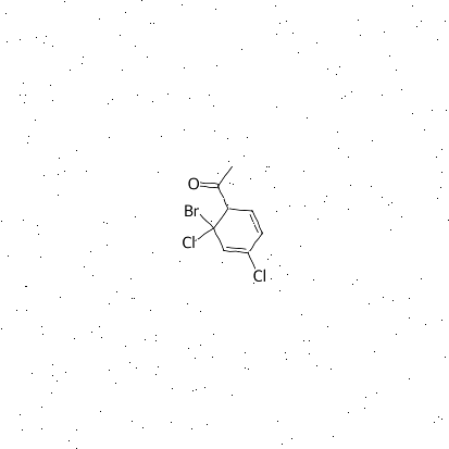 CC(=O)C1C=CC(Cl)=CC1(Cl)Br